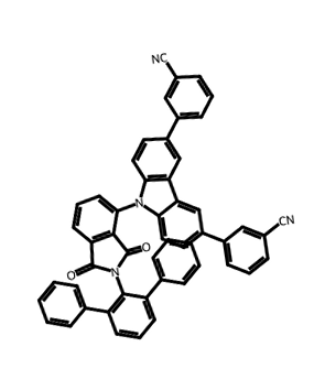 N#Cc1cccc(-c2ccc3c(c2)c2cc(-c4cccc(C#N)c4)ccc2n3-c2cccc3c2C(=O)N(c2c(-c4ccccc4)cccc2-c2ccccc2)C3=O)c1